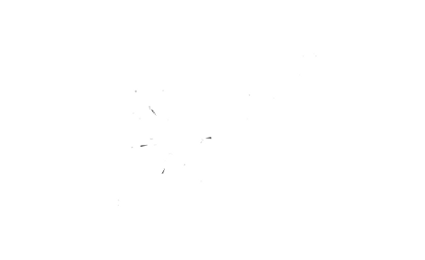 C=CCO[C@H]1[C@@H](O)[C@@H](C(O)[Si](C)(C)C(C)(C)C)O[C@@H](OCCCCCC(=O)OC)[C@@H]1O